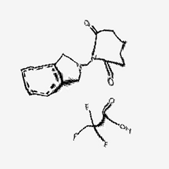 O=C(O)C(F)(F)F.O=C1CCCC(=O)N1N1Cc2ccccc2C1